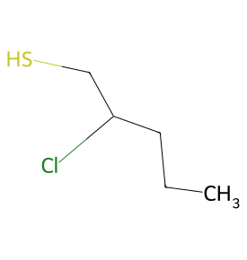 CCCC(Cl)CS